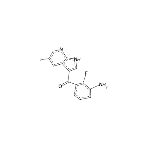 Nc1cccc(C(=O)c2c[nH]c3ncc(I)cc23)c1F